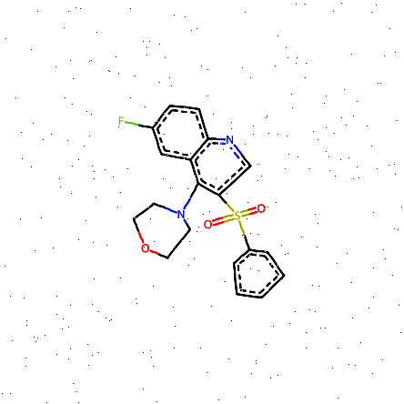 O=S(=O)(c1ccccc1)c1cnc2ccc(F)cc2c1N1CCOCC1